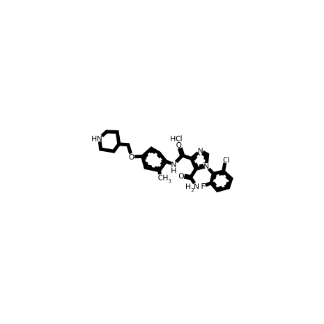 Cc1cc(OCC2CCNCC2)ccc1NC(=O)c1ncn(-c2c(F)cccc2Cl)c1C(N)=O.Cl